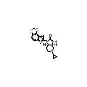 O=C1N[C@H]2CN(C3CC3)CC[C@H]2N1c1nc2c3c(ccc2s1)OCO3